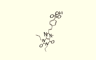 CCCn1c(=O)c2c(nc(C=Cc3ccc(S(=O)(=O)O)cc3)n2C)n(CCC)c1=O